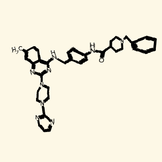 Cc1ccc2c(NCc3ccc(NC(=O)C4CCN(Cc5ccccc5)CC4)cc3)nc(N3CCN(c4ncccn4)CC3)nc2c1